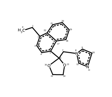 CCc1ccc(C2(Cn3ccnc3)OCCO2)c2ccccc12